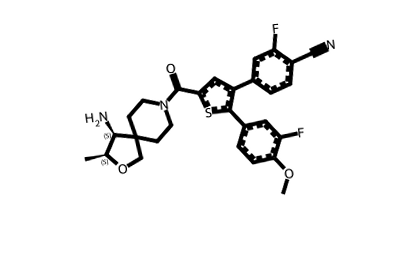 COc1ccc(-c2sc(C(=O)N3CCC4(CC3)CO[C@@H](C)[C@H]4N)cc2-c2ccc(C#N)c(F)c2)cc1F